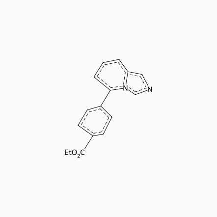 CCOC(=O)c1ccc(-c2cccc3cncn23)cc1